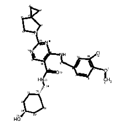 COc1ccc(CNc2nc(N3CCC4(CC4)C3)ncc2C(=O)NC[C@H]2CC[C@H](O)CC2)cc1Cl